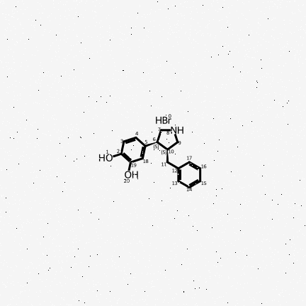 Br.Oc1ccc([C@H]2CNC[C@H]2Cc2ccccc2)cc1O